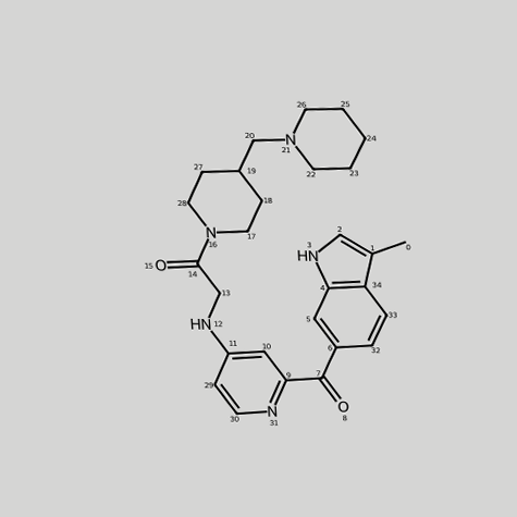 Cc1c[nH]c2cc(C(=O)c3cc(NCC(=O)N4CCC(CN5CCCCC5)CC4)ccn3)ccc12